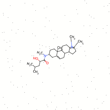 CC(C)CC(O)C(=O)N(C)C1CCC2(C)C(=CCC3C2CCC24CN(C)C(C)C2CCC34)C1